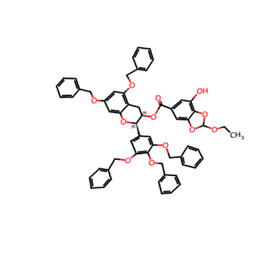 CCOC1Oc2cc(C(=O)O[C@@H]3Cc4c(OCc5ccccc5)cc(OCc5ccccc5)cc4O[C@@H]3c3cc(OCc4ccccc4)c(OCc4ccccc4)c(OCc4ccccc4)c3)cc(O)c2O1